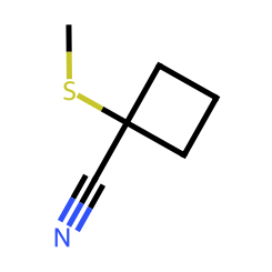 CSC1(C#N)CCC1